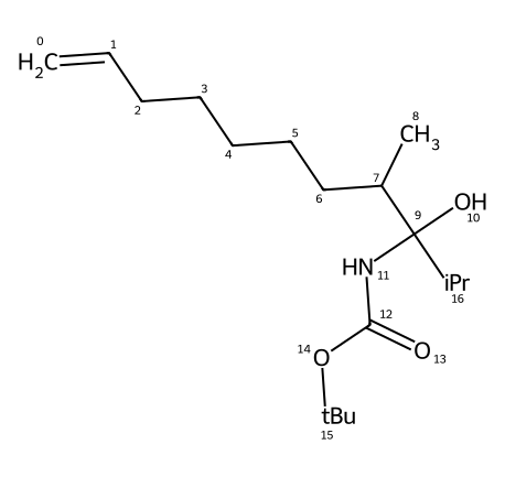 C=CCCCCCC(C)C(O)(NC(=O)OC(C)(C)C)C(C)C